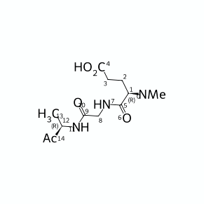 CN[C@H](CCC(=O)O)C(=O)NCC(=O)N[C@H](C)C(C)=O